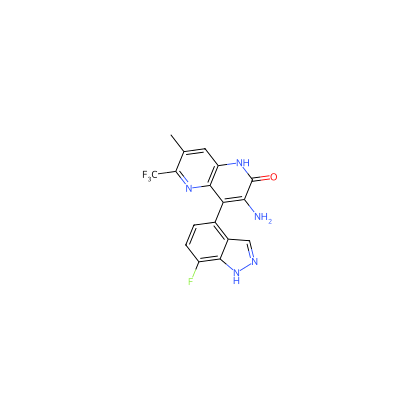 Cc1cc2[nH]c(=O)c(N)c(-c3ccc(F)c4[nH]ncc34)c2nc1C(F)(F)F